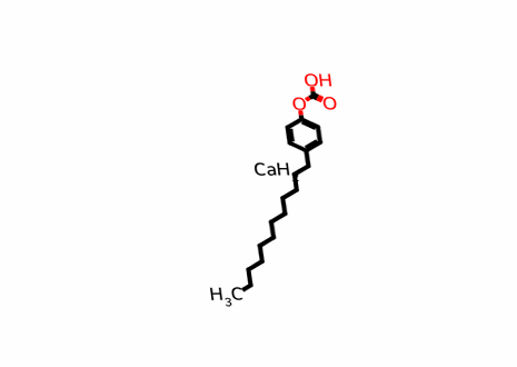 CCCCCCCCCCCCc1ccc(OC(=O)O)cc1.[CaH2]